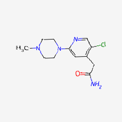 CN1CCN(c2cc(CC(N)=O)c(Cl)cn2)CC1